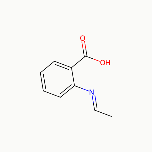 C/C=N/c1ccccc1C(=O)O